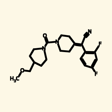 COCC1CCN(C(=O)N2CCC(=C(C#N)c3ccc(F)cc3F)CC2)CC1